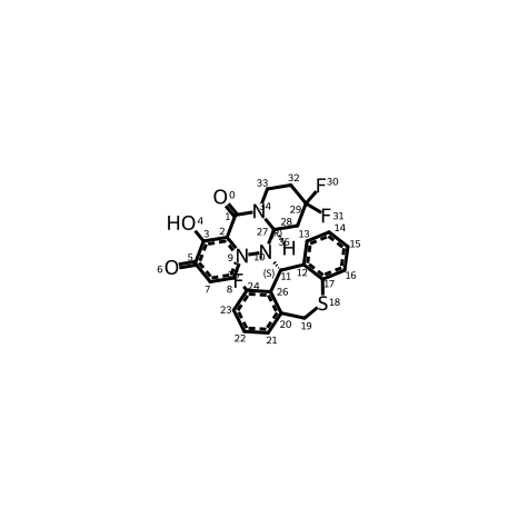 O=C1c2c(O)c(=O)ccn2N([C@@H]2c3ccccc3SCc3cccc(F)c32)[C@@H]2CC(F)(F)CCN12